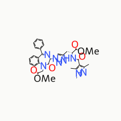 COC(=O)CN1C(=O)C(n2cc(C[C@@H](NC(=O)c3c(C)nn(C)c3C)C(=O)OC)nn2)N=C(c2ccccc2)c2ccccc21